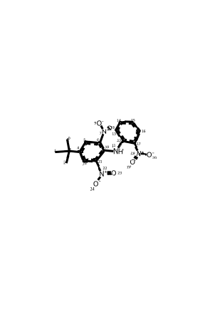 CC(C)(C)c1cc([N+](=O)[O-])c(Nc2ccccc2[N+](=O)[O-])c([N+](=O)[O-])c1